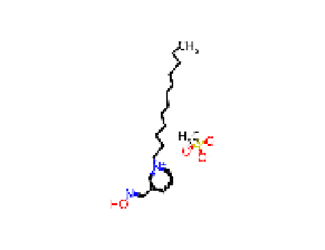 CCCCCCCCCCCC[n+]1cccc(C=NO)c1.CS(=O)(=O)[O-]